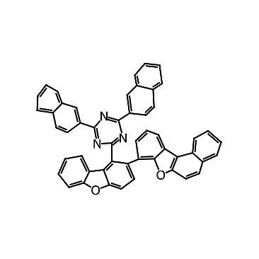 c1ccc2cc(-c3nc(-c4ccc5ccccc5c4)nc(-c4c(-c5cccc6c5oc5ccc7ccccc7c56)ccc5oc6ccccc6c45)n3)ccc2c1